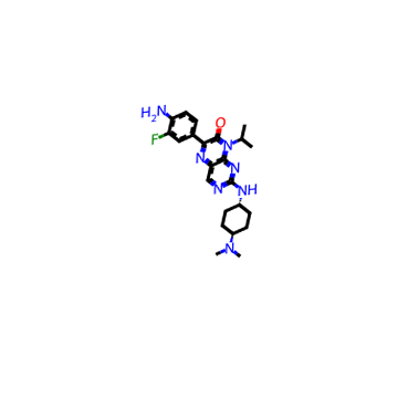 CC(C)n1c(=O)c(-c2ccc(N)c(F)c2)nc2cnc(N[C@H]3CC[C@H](N(C)C)CC3)nc21